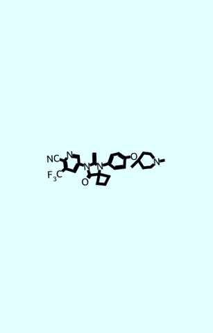 C=C1N(c2cnc(C#N)c(C(F)(F)F)c2)C(=O)C2(CCC2)N1c1ccc(OC2(C)CCN(C)CC2)cc1